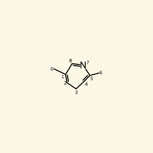 CC1=CCC=C(C)N=C1